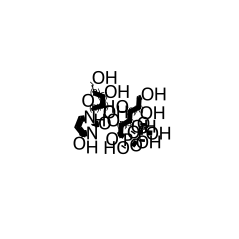 O=C([C@H](O)[C@@H](O)[C@@H](O)[C@H](O)CO)P(=O)(O)OP(=O)(O)O.O=c1ccn([C@@H]2O[C@H](CO)[C@@H](O)[C@H]2O)c(=O)[nH]1